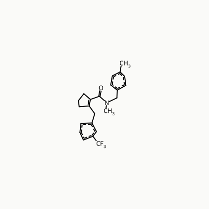 Cc1ccc(CN(C)C(=O)C2=C(Cc3cccc(C(F)(F)F)c3)CCC2)cc1